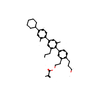 C=C(C)C(=O)OCCc1cc(-c2c(C)cc(-c3ccc(C4CCCCC4)cc3C)cc2CCC)ccc1CCCO